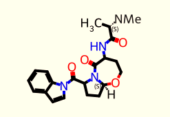 CN[C@@H](C)C(=O)NC1CCO[C@H]2CCC(C(=O)n3ccc4ccccc43)N2C1=O